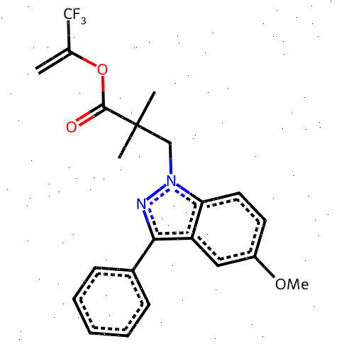 C=C(OC(=O)C(C)(C)Cn1nc(-c2ccccc2)c2cc(OC)ccc21)C(F)(F)F